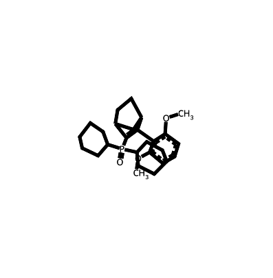 COc1cccc(OC)c1C1=C(P(=O)(C2CCCCC2)C2CCCCC2)C2CCC1C2